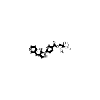 CC(C)(C)COC(=O)c1ccc(-n2[nH]cc(Cc3cccnc3)c2=O)nc1